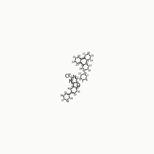 Clc1nc(-c2cccc(-c3ccc4c5ccccc5c5ccccc5c4c3)c2)c2oc3ccc(-c4ccccc4)cc3c2n1